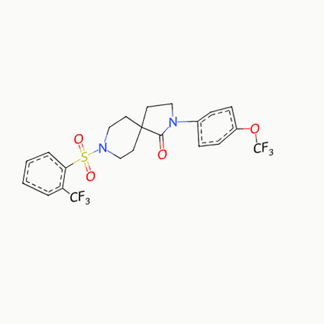 O=C1N(c2ccc(OC(F)(F)F)cc2)CCC12CCN(S(=O)(=O)c1ccccc1C(F)(F)F)CC2